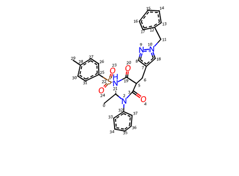 CCN(C(=O)C(Cc1cnn(Cc2ccccc2)c1)C(=O)NS(=O)(=O)c1ccc(C)cc1)c1ccccc1